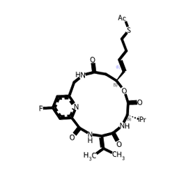 CC(=O)SCC/C=C/[C@@H]1CC(=O)NCc2cc(F)cc(n2)C(=O)NC(=C(C)C)C(=O)N[C@@H](C(C)C)C(=O)O1